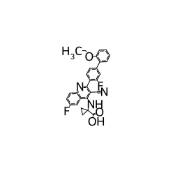 CCOc1ccccc1-c1ccc(-c2nc3ccc(F)cc3c(NC3(C(=O)O)CC3)c2C#N)c(F)c1